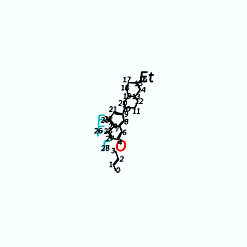 CC=CCOc1cc2cc(C3CCC4CC(CC)CCC4C3)cc(F)c2c(F)c1F